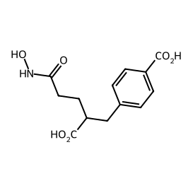 O=C(CCC(Cc1ccc(C(=O)O)cc1)C(=O)O)NO